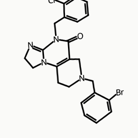 O=C1C2=C(CCN(Cc3ccccc3Br)C2)N2CCN=C2N1Cc1ccccc1Cl